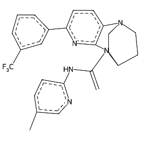 C=C(Nc1ccc(C)cn1)N1c2nc(-c3cccc(C(F)(F)F)c3)ccc2N2CCC1CC2